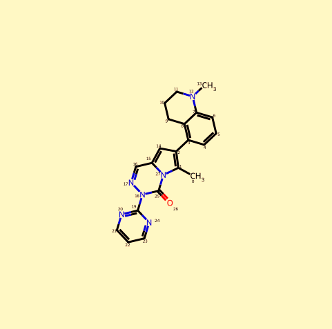 Cc1c(-c2cccc3c2CCCN3C)cc2cnn(-c3ncccn3)c(=O)n12